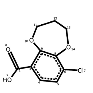 O=C(O)c1ccc(Cl)c2c1OCCCO2